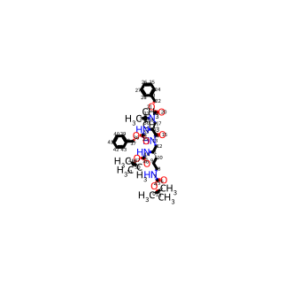 CC(C)(C)OC(=O)NCCC[C@@H](CNC(=O)[C@H](CN(C(=O)OCc1ccccc1)C(C)(C)C)NC(=O)OCc1ccccc1)NC(=O)OC(C)(C)C